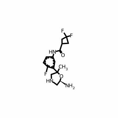 CC1(c2cc(NC(=O)C3CC(F)(F)C3)ccc2F)CNC[C@H](N)O1